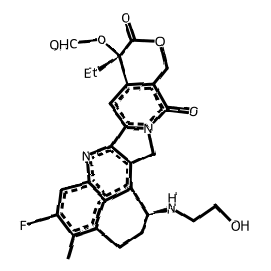 CC[C@@]1(OC=O)C(=O)OCc2c1cc1n(c2=O)Cc2c-1nc1cc(F)c(C)c3c1c2[C@@H](NCCO)CC3